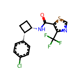 O=C(N[C@H]1CC[C@H]1c1ccc(Cl)cc1)c1scnc1C(F)(F)F